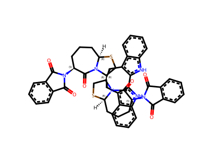 O=C1c2ccccc2C(=O)N1[C@H]1CCC[C@H]2SC[C@@H](Cc3c(-c4[nH]c5ccccc5c4C[C@@H]4CS[C@@H]5CCC[C@H](N6C(=O)c7ccccc7C6=O)C(=O)N45)[nH]c4ccccc34)N2C1=O